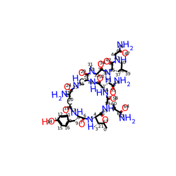 CC[C@H](C)[C@@H]1NC(=O)[C@H](Cc2ccc(O)cc2)NC(=O)C[C@@H](N)C(=O)NC[C@@H](C(=O)N(C)CC(=O)N[C@@H](CC(C)C)C(=O)NCC(N)=O)NC(=O)[C@H](CC(N)=O)NC(=O)[C@H](CCC(N)=O)NC1=O